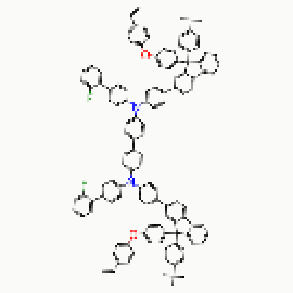 C=Cc1ccc(Oc2ccc(C3(c4ccc(C(C)(C)C)cc4)c4ccccc4-c4ccc(-c5ccc(N(c6ccc(-c7ccc(N(c8ccc(-c9ccc%10c(c9)C(c9ccc(Oc%11ccc(C=C)cc%11)cc9)(c9ccc(C(C)(C)C)cc9)c9ccccc9-%10)cc8)c8ccc(-c9ccccc9F)cc8)cc7)cc6)c6ccc(-c7ccccc7F)cc6)cc5)cc43)cc2)cc1